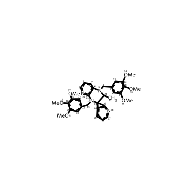 COc1cc(CN2c3cccnc3N(Cc3cc(OC)c(OC)c(OC)c3)C3(c4cccnc43)C2C)cc(OC)c1OC